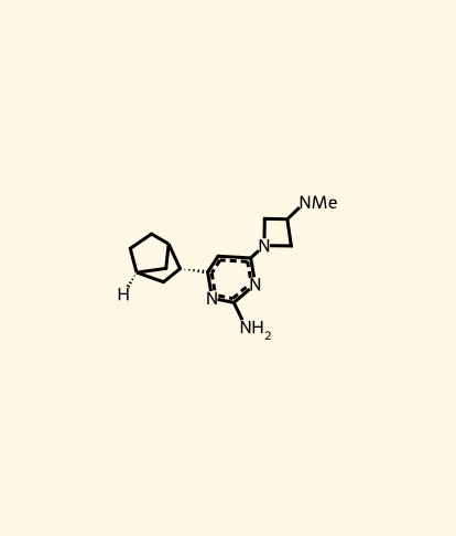 CNC1CN(c2cc([C@@H]3C[C@H]4CCC3C4)nc(N)n2)C1